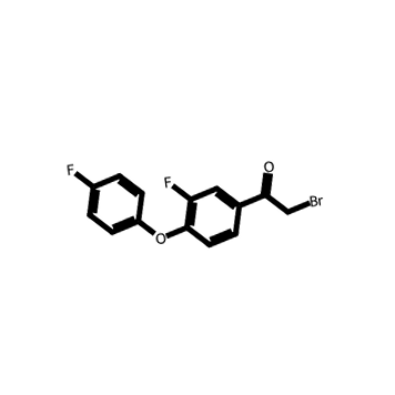 O=C(CBr)c1ccc(Oc2ccc(F)cc2)c(F)c1